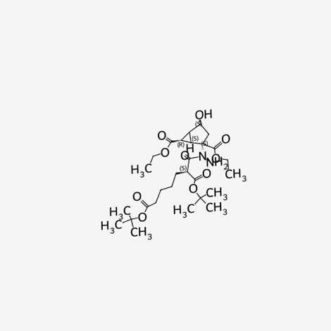 CCOC(=O)[C@H]1C2[C@@H](O)C[C@](C(=O)OCC)(N(N)C(=O)[C@H](CCCCC(=O)OC(C)(C)C)C(=O)OC(C)(C)C)[C@@H]21